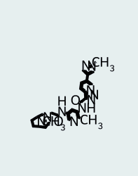 Cc1ncc(NC(=O)CN2CCC3CCC(C2)N3C)cc1NC(=O)c1nnn2cc(-c3cnn(C)c3)ccc12